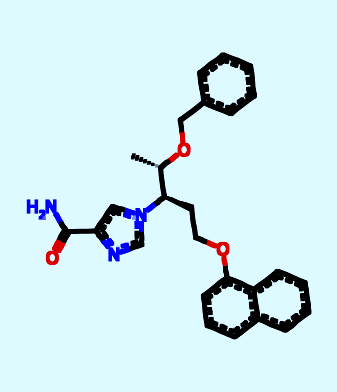 C[C@H](OCc1ccccc1)[C@@H](CCOc1cccc2ccccc12)n1cnc(C(N)=O)c1